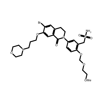 COCCOCOc1ccc(N2CCc3cc(Br)c(OCCCN4CCOCC4)cc3C2=O)cc1CS(N)(=O)=O